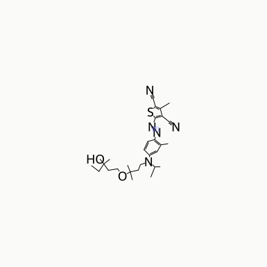 CCC(C)(O)CCOC(C)(C)CCN(c1ccc(/N=N/c2sc(C#N)c(C)c2C#N)c(C)c1)C(C)C